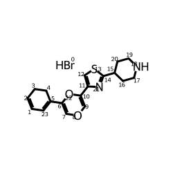 Br.C1=CCCC(C2=COC=C(c3csc(C4CCNCC4)n3)O2)=C1